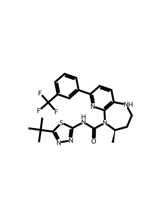 C[C@@H]1CCNc2ccc(-c3cccc(C(F)(F)F)c3)nc2N1C(=O)Nc1nnc(C(C)(C)C)s1